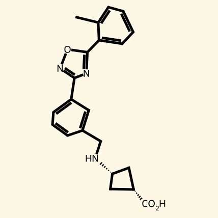 Cc1ccccc1-c1nc(-c2cccc(CN[C@H]3C[C@@H](C(=O)O)C3)c2)no1